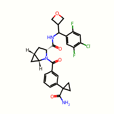 NC(=O)C1(c2cccc(C(=O)N3[C@@H](C(=O)NC(c4cc(F)c(Cl)cc4F)C4COC4)C[C@H]4C[C@H]43)c2)CC1